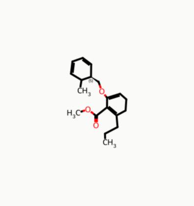 CCCC1=C(C(=O)OC)C(OC[C@@H]2C=CC=CC2C)=CCC1